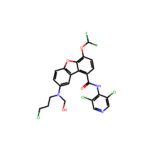 O=C(Nc1c(Cl)cncc1Cl)c1ccc(OC(F)F)c2oc3ccc(N(CO)CCCCl)cc3c12